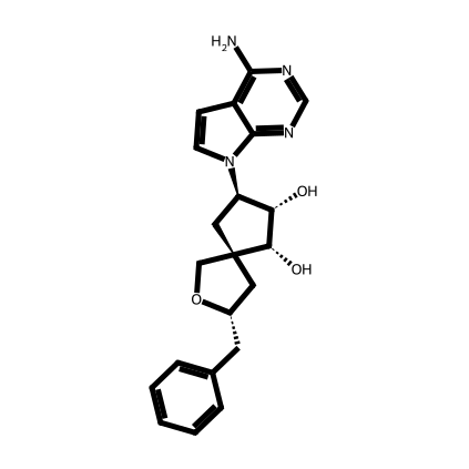 Nc1ncnc2c1ccn2[C@@H]1C[C@@]2(CO[C@@H](Cc3ccccc3)C2)[C@@H](O)[C@H]1O